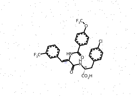 O=C(N[C@H](Cc1ccc(Cl)cc1)C(=O)O)/C(=C/c1cccc(C(F)(F)F)c1)NC(=O)c1ccc(OC(F)(F)F)cc1